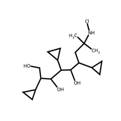 CC(C)(CC(C1CC1)C(O)C(C1CC1)C(O)C(CO)C1CC1)NCl